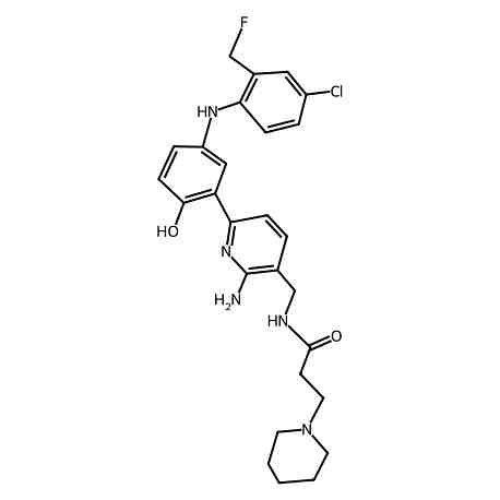 Nc1nc(-c2cc(Nc3ccc(Cl)cc3CF)ccc2O)ccc1CNC(=O)CCN1CCCCC1